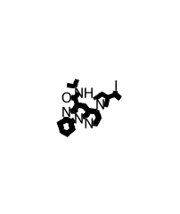 C=C(I)C1CCN(c2ccnc3c2cc(C(=O)NC(C)C)c2nc4ccccc4n23)C1